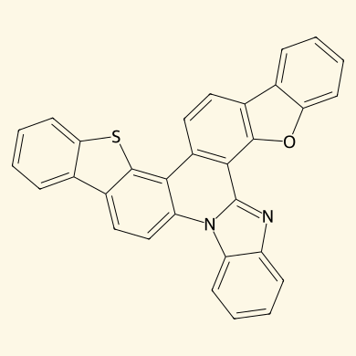 c1ccc2c(c1)nc1c3c(ccc4c5ccccc5oc43)c3c4sc5ccccc5c4ccc3n21